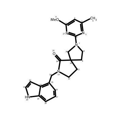 COc1cc(C)nc(N2CCC3(CCN(Cc4cccc5[nH]ccc45)C3=O)C2)n1